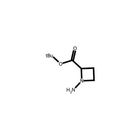 CC(C)(C)OC(=O)C1CCN1N